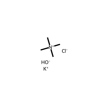 C[N+](C)(C)C.[Cl-].[K+].[OH-]